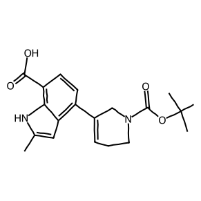 Cc1cc2c(C3=CCCN(C(=O)OC(C)(C)C)C3)ccc(C(=O)O)c2[nH]1